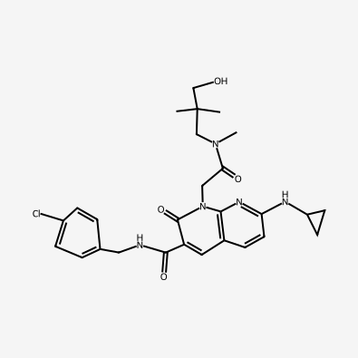 CN(CC(C)(C)CO)C(=O)Cn1c(=O)c(C(=O)NCc2ccc(Cl)cc2)cc2ccc(NC3CC3)nc21